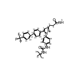 CNC(=O)CCc1cc(-c2ccc(-c3ccc(C(F)(F)F)cc3)cc2)n(-c2ccc(NC(=O)NC(C)(C)C)cc2)n1